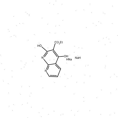 CCOC(=O)c1c(O)nc2ncccc2c1O.[NaH].[NaH]